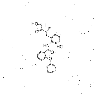 Cl.O=C(NO)C(F)=Cc1ccccc1NC(=O)c1ccccc1Oc1ccccc1